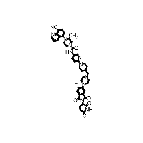 C[C@H]1CN(C(=O)Nc2ccc(N3CCC(CN4CCN(c5cc6c(cc5F)C(=O)N(C5CCC(=O)NC5=O)C6=O)CC4)CC3)nc2)CCN1c1ccc(C#N)c2ncccc12